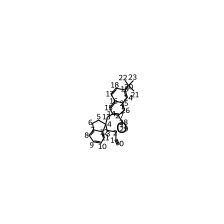 C#CC1CC2(CCc3ccccc32)Cc2cc3ccc(C(C)(C)C)cc3cc2CO1